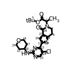 CC(C(=O)OC(C)(C)C)N1CCc2sc(-c3nc(NC4CCOCC4)ncc3Cl)cc2C1=O